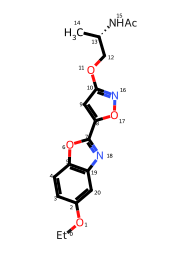 CCOc1ccc2oc(-c3cc(OC[C@H](C)NC(C)=O)no3)nc2c1